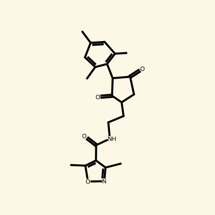 Cc1cc(C)c(C2C(=O)CC(CCNC(=O)c3c(C)noc3C)C2=O)c(C)c1